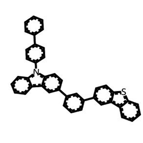 c1ccc(-c2ccc(-n3c4ccccc4c4cc(-c5cccc(-c6ccc7sc8ccccc8c7c6)c5)ccc43)cc2)cc1